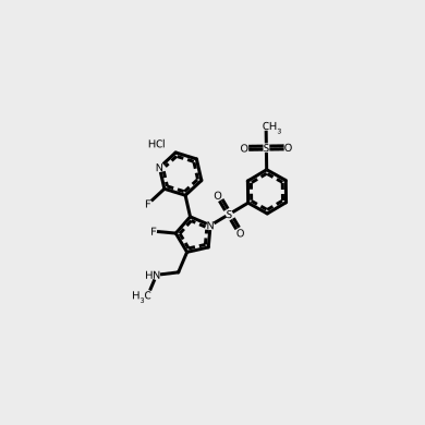 CNCc1cn(S(=O)(=O)c2cccc(S(C)(=O)=O)c2)c(-c2cccnc2F)c1F.Cl